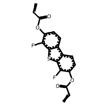 C=CC(=O)Oc1ccc2c(sc3c(F)c(OC(=O)C=C)ccc32)c1F